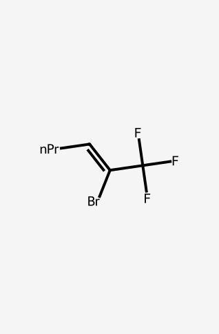 CCCC=C(Br)C(F)(F)F